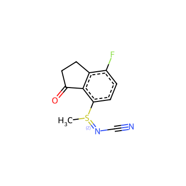 C/S(=N/C#N)c1ccc(F)c2c1C(=O)CC2